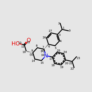 CC(C)C1=CCC([C@H]2C[C@@H](CC(=O)O)CCN2c2ccc(C(C)C)cc2)C=C1